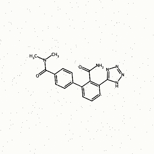 CN(C)C(=O)c1ccc(-c2cc[c]c(-c3nnn[nH]3)c2C(N)=O)cc1